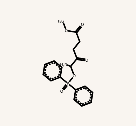 CC(C)(C)OC(=O)CCC(=O)C(N)OP(=O)(c1ccccc1)c1ccccc1